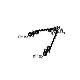 CCCCCCc1ccc2c(c1)sc1c3ccc(CCCCCCCCCCC[Si](C)(C)O[Si](C)(C)CCCCCCCCCCCc4ccc5c(c4)sc4c6ccc(CCCCCC)cc6sc54)cc3sc21